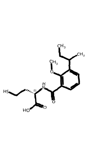 CCC(C)c1cccc(C(=O)N[C@@H](CCS)C(=O)O)c1OC